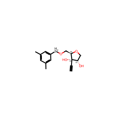 C#C[C@]1(O)[C@@H](O)[CH]O[C@@H]1CO[SiH2]c1cc(C)cc(C)c1